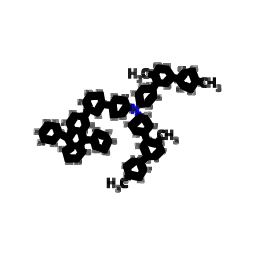 Cc1ccc(-c2ccc(C)c(-c3ccc(N(c4ccc(-c5cccc(-c6ccc7c(-c8ccccc8)c8ccccc8c(-c8ccccc8)c7c6)c5)cc4)c4ccc(-c5cc(-c6ccc(C)cc6)ccc5C)cc4)cc3)c2)cc1